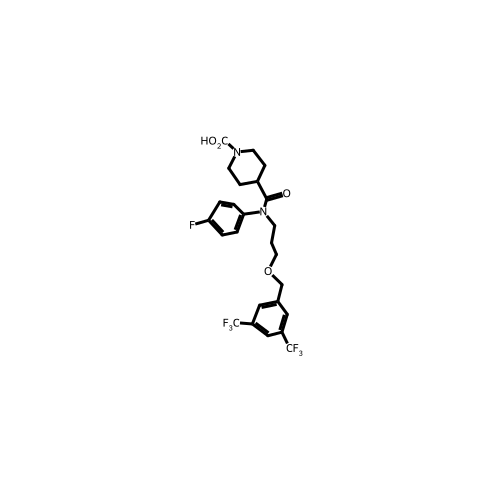 O=C(O)N1CCC(C(=O)N(CCCOCc2cc(C(F)(F)F)cc(C(F)(F)F)c2)c2ccc(F)cc2)CC1